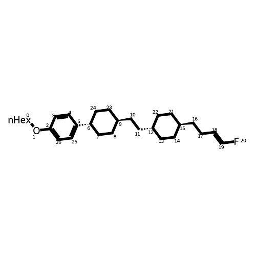 CCCCCCOc1ccc([C@H]2CC[C@H](CC[C@H]3CC[C@H](CCC=CF)CC3)CC2)cc1